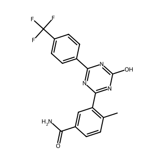 Cc1ccc(C(N)=O)cc1-c1nc(O)nc(-c2ccc(C(F)(F)F)cc2)n1